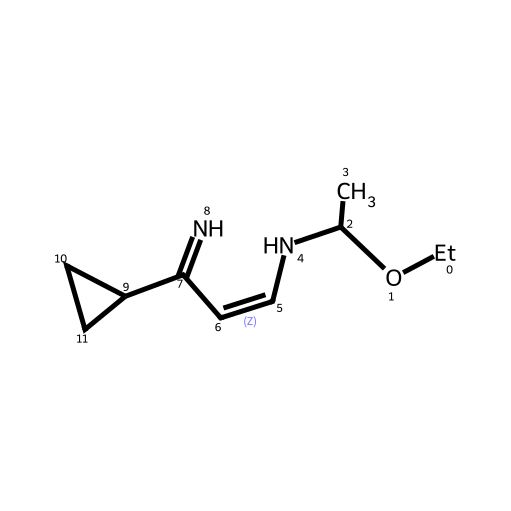 CCOC(C)N/C=C\C(=N)C1CC1